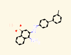 Cc1cccc(-c2ccc(N=Nc3cc(S(=O)(=O)O)c4ccccc4c3N)cc2)c1